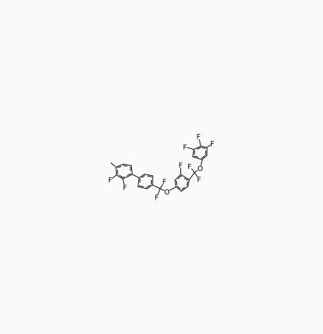 Cc1ccc(-c2ccc(C(F)(F)Oc3ccc(C(F)(F)Oc4cc(F)c(F)c(F)c4)c(F)c3)cc2)c(F)c1F